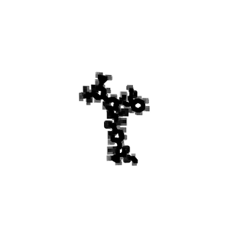 CCOC(=O)C1(NCc2ccc(C(=O)Nc3nc4nc(-c5cc(C6CC6)nc(C(F)(F)F)c5)cc(N(C)CC5(COC)CCCCC5)c4[nH]3)nc2)CC1